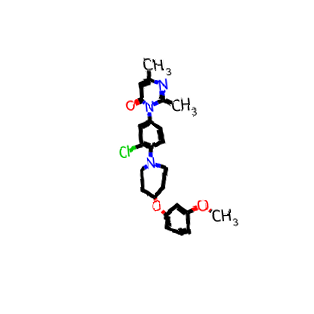 COc1cccc(OC2CCN(c3ccc(-n4c(C)nc(C)cc4=O)cc3Cl)CC2)c1